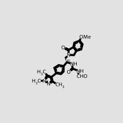 COc1ccc2c(c1)C(=O)N(C[C@H](NC(=O)NC=O)c1ccc(-c3c(C)nn(C)c3C)cc1)C2